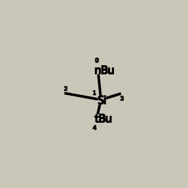 CCCC[Si](C)(C)C(C)(C)C